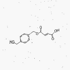 O=C(O)C=CC(=O)OCc1ccc(CO)cc1